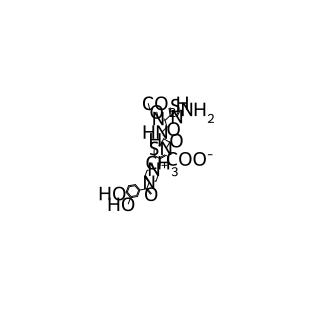 C[N+]1(CC2=C(C(=O)[O-])N3C(=O)[C@@H](NC(=O)C(=NOCC(=O)O)c4csc(N)n4)[C@@H]3SC2)CCN(C(=O)c2ccc(O)c(O)c2)CC1